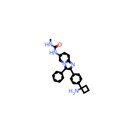 CNC(=O)Nc1ccc2nc(-c3ccc(C4(N)CCC4)cc3)c(-c3ccccc3)n2c1